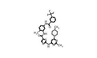 Cc1nc(Nc2ncc(C(=O)Nc3cc(NC(=O)c4cccc(C(F)(F)F)c4)ccc3C)s2)cc(N2CCN(C)CC2)n1